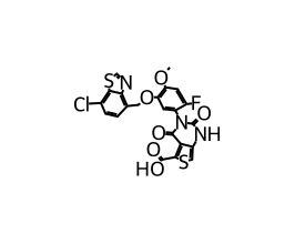 COc1cc(F)c(-n2c(=O)[nH]c3csc(C(=O)O)c3c2=O)cc1OCc1ccc(Cl)c2scnc12